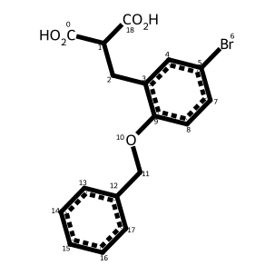 O=C(O)C(Cc1cc(Br)ccc1OCc1ccccc1)C(=O)O